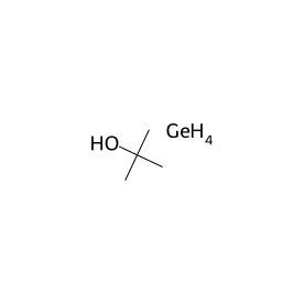 CC(C)(C)O.[GeH4]